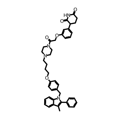 Cc1c(-c2ccccc2)n(Cc2ccc(OCCCCN3CCN(C(=O)COc4cccc(C5CCC(=O)NC5=O)c4)CC3)cc2)c2ccccc12